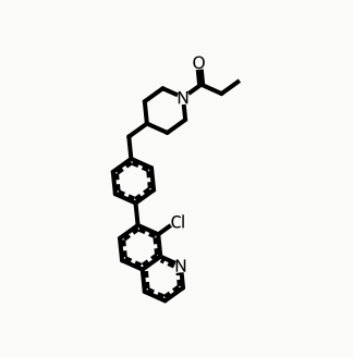 CCC(=O)N1CCC(Cc2ccc(-c3ccc4cccnc4c3Cl)cc2)CC1